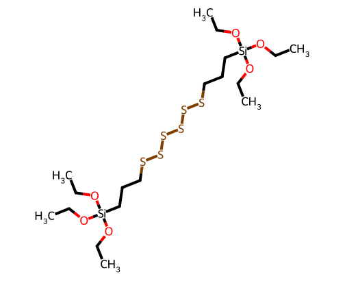 CCO[Si](CCCSSSSSSCCC[Si](OCC)(OCC)OCC)(OCC)OCC